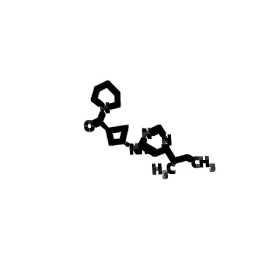 CCC(C)c1cc(N[C@H]2C[C@H](C(=O)N3CCCCC3)C2)ncn1